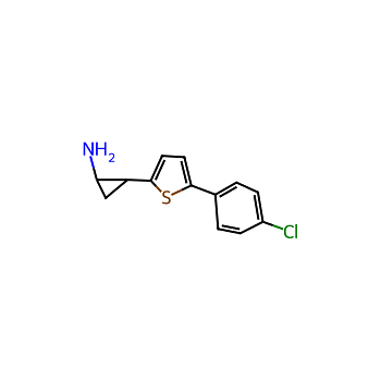 NC1CC1c1ccc(-c2ccc(Cl)cc2)s1